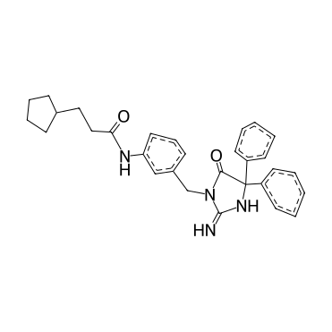 N=C1NC(c2ccccc2)(c2ccccc2)C(=O)N1Cc1cccc(NC(=O)CCC2CCCC2)c1